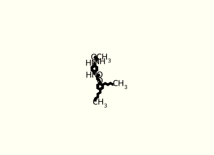 CCCCCc1ccc(OCC(=O)Nc2ccc(NNC(C)=O)cc2)c(CCCCC)c1